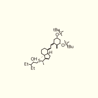 C=C1C(=CC=C2CCC[C@]3(C)C([C@@H](C)SC[C@@H](O)C(CC)CC)=CC[C@@H]23)C[C@@H](O[Si](C)(C)C(C)(C)C)C[C@@H]1O[Si](C)(C)C(C)(C)C